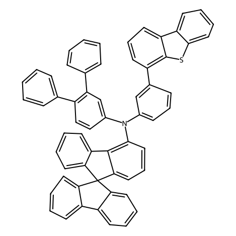 c1ccc(-c2ccc(N(c3cccc(-c4cccc5c4sc4ccccc45)c3)c3cccc4c3-c3ccccc3C43c4ccccc4-c4ccccc43)cc2-c2ccccc2)cc1